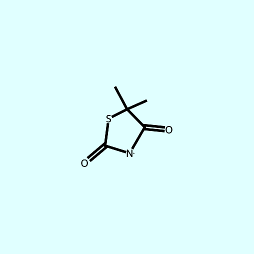 CC1(C)SC(=O)[N]C1=O